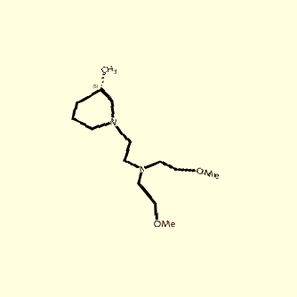 COCCN(CCOC)CCN1CCC[C@H](C)C1